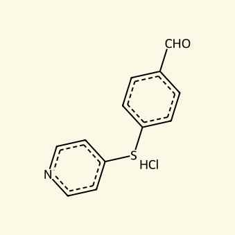 Cl.O=Cc1ccc(Sc2ccncc2)cc1